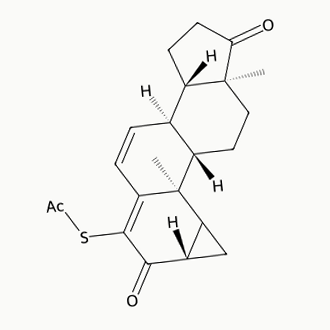 CC(=O)SC1=C2C=C[C@H]3[C@@H]4CCC(=O)[C@@]4(C)CC[C@@H]3[C@@]2(C)C2C[C@@H]2C1=O